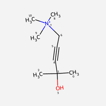 CC(C)(O)C#CC[N+](C)(C)C